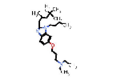 CCCCn1c(CC(C)CC(C)(C)C)nc2ccc(OCCCN(CC)CC)cc21